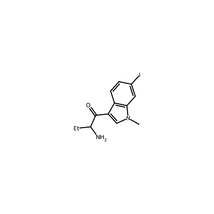 CCC(N)C(=O)c1cn(C)c2cc(I)ccc12